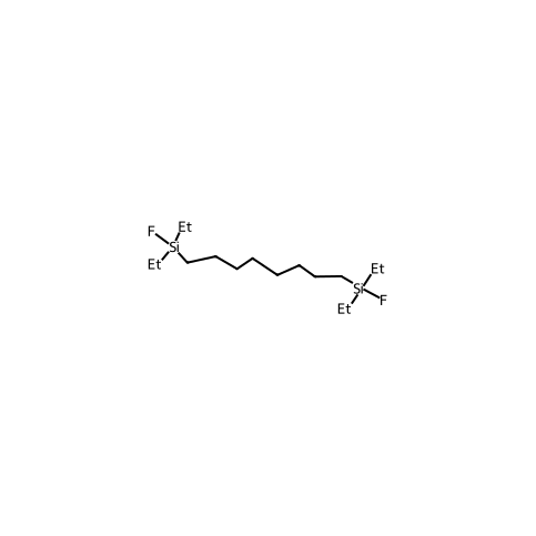 CC[Si](F)(CC)CCCCCCCC[Si](F)(CC)CC